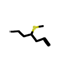 [CH2]CCC(CC=C)SC